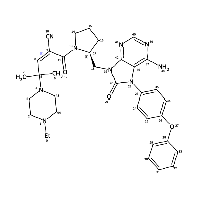 CCN1CCN(C(C)(C)/C=C(/C#N)C(=O)N2CCC[C@H]2Cn2c(=O)n(-c3ccc(Oc4ccccc4)cc3)c3c(N)ncnc32)CC1